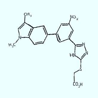 Cc1cn(C)c2ccc(-c3cc(-c4nnc(SCC(=O)O)[nH]4)cc([N+](=O)[O-])c3)cc12